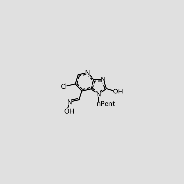 CCCCCn1c(O)nc2ncc(Cl)c(C=NO)c21